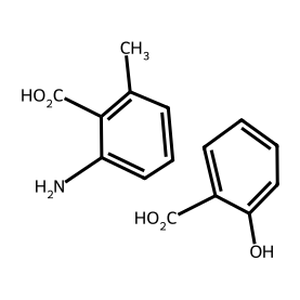 Cc1cccc(N)c1C(=O)O.O=C(O)c1ccccc1O